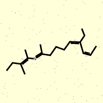 C/C=C\C(=C/CCC/C(C)=N/C(C)=C(\C)CC)CC